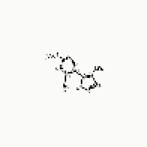 COc1ccc(C2=C(C(C)(C)C)C=CC2)c(C(C)=O)c1